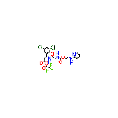 O=C(CNC(=O)OCCNc1ccccn1)NC(CC(=O)OC(=O)C(F)(F)F)c1cc(Cl)cc(Cl)c1